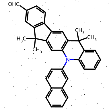 CC1(C)c2cc(C=O)ccc2-c2cc3c(cc21)N(c1ccc2ccccc2c1)c1ccccc1C3(C)C